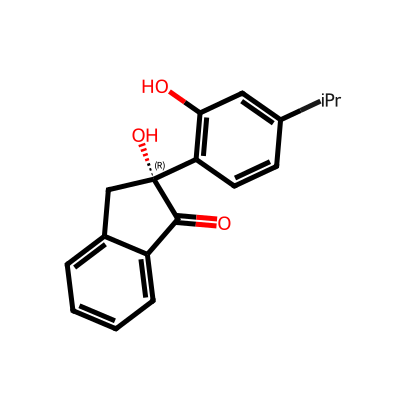 CC(C)c1ccc([C@]2(O)Cc3ccccc3C2=O)c(O)c1